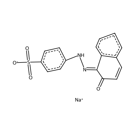 O=C1C=Cc2ccccc2/C1=N\Nc1ccc(S(=O)(=O)[O-])cc1.[Na+]